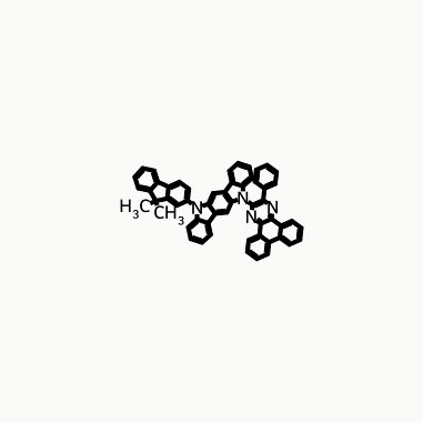 CC1(C)c2ccccc2-c2ccc(-n3c4ccccc4c4cc5c(cc43)c3ccccc3n5-c3nc4c5ccccc5c5ccccc5c4nc3-c3ccccc3)cc21